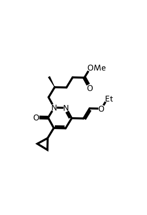 CCO/C=C/c1cc(C2CC2)c(=O)n(C[C@@H](C)CCC(=O)OC)n1